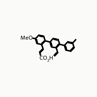 C=Cc1cc(-c2ccc(OC)cc2/C=C/C(=O)O)ccc1-c1cccc(C)c1